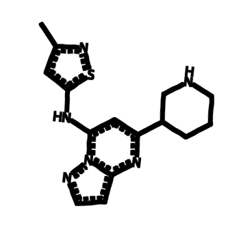 Cc1cc(Nc2cc(C3CCCNC3)nc3ccnn23)sn1